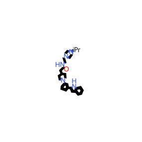 CC(C)N1CCN(CCNC(=O)CC2CCN(c3cccc(-c4cc5ccccc5[nH]4)c3)CC2)CC1